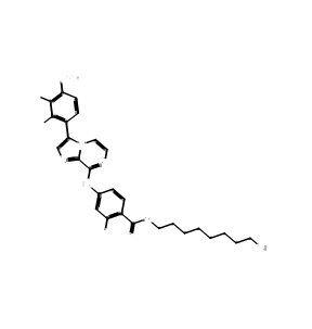 CCc1cc(Nc2nccn3c(-c4ccc(OC)c(F)c4F)cnc23)ccc1C(=O)NCCCCCCCCN